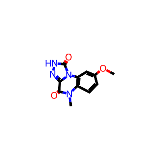 COc1ccc2c(c1)n1c(=O)[nH]nc1c(=O)n2C